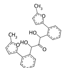 Cc1ccc(-c2ccccc2C(O)C(=O)C(O)c2ccccc2-c2ccc(C)o2)o1